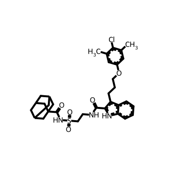 Cc1cc(OCCCc2c(C(=O)NCCS(=O)(=O)NC(=O)C34CC5CC(CC(C5)C3)C4)[nH]c3ccccc23)cc(C)c1Cl